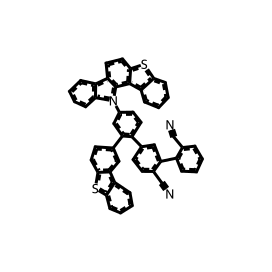 N#Cc1ccccc1-c1cc(-c2ccc(-n3c4ccccc4c4ccc5sc6ccccc6c5c43)cc2-c2ccc3sc4ccccc4c3c2)ccc1C#N